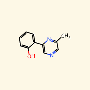 Cc1cncc(-c2ccccc2O)n1